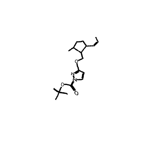 C/C=C\C1CCC(C)C1COc1ccn(C(=O)OC(C)(C)C)n1